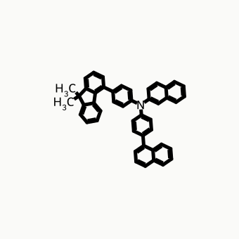 CC1(C)c2ccccc2-c2c(-c3ccc(N(c4ccc(-c5cccc6ccccc56)cc4)c4ccc5ccccc5c4)cc3)cccc21